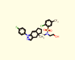 CC12Cc3cnn(-c4ccc(F)cc4)c3C=C1CC[C@@H]2CN(CCO)S(=O)(=O)c1cc(C(F)(F)F)ccc1Cl